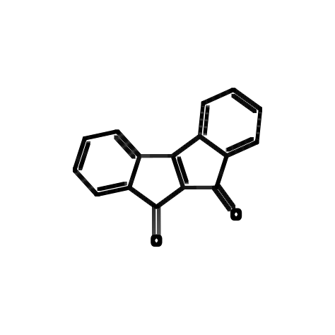 O=c1c2c(=O)c3ccccc3c=2c2ccccc12